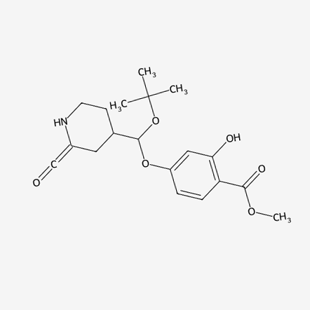 COC(=O)c1ccc(OC(OC(C)(C)C)C2CCNC(=C=O)C2)cc1O